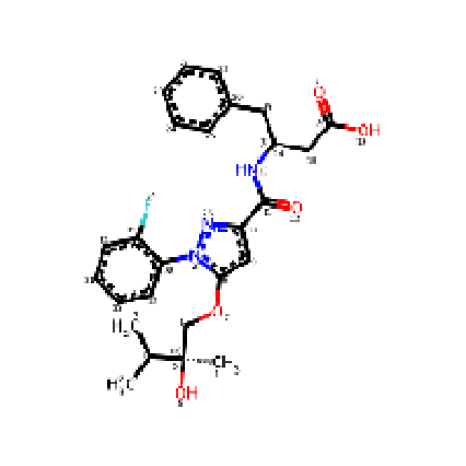 CC(C)[C@](C)(O)COc1cc(C(=O)N[C@H](CC(=O)O)Cc2ccccc2)nn1-c1ccccc1F